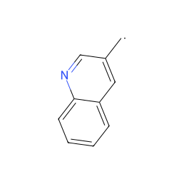 [CH2]c1cnc2ccccc2c1